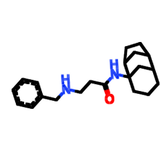 O=C(CCNCc1ccccc1)NC12CCCC(C1)C1CCC2C1